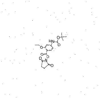 CCOc1cc(NC(=O)OC(C)(C)C)ccc1C(=O)ON1C(=O)CCC1=O